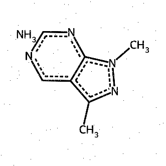 Cc1nn(C)c2ncncc12.N